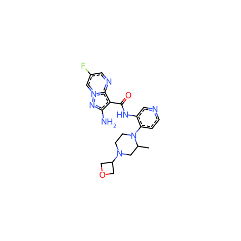 CC1CN(C2COC2)CCN1c1ccncc1NC(=O)c1c(N)nn2cc(F)cnc12